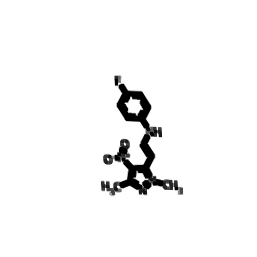 Cc1nn(C)c(/C=C/Nc2ccc(F)cc2)c1[N+](=O)[O-]